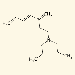 C=CC=CC(=C)CCN(CCC)CCC